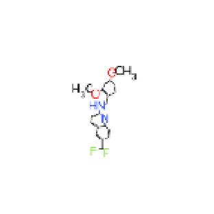 COc1ccc(CNc2ccc3cc(C(F)F)ccc3n2)c(OC)c1